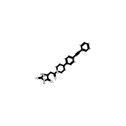 O=C1NC(=O)C(CC(=O)N2CCC(c3ccc(C#Cc4ccccc4)cc3)CC2)N1